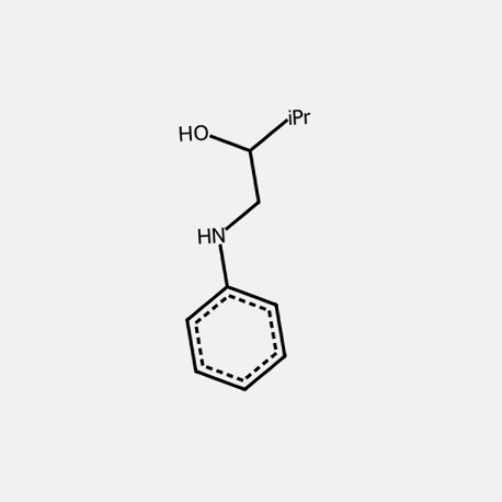 CC(C)C(O)CNc1ccccc1